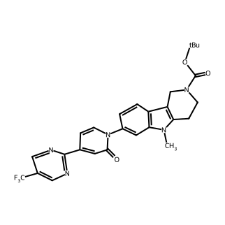 Cn1c2c(c3ccc(-n4ccc(-c5ncc(C(F)(F)F)cn5)cc4=O)cc31)CN(C(=O)OC(C)(C)C)CC2